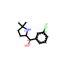 CC1(C)CCC([C@H](O)c2cccc(Cl)c2)N1